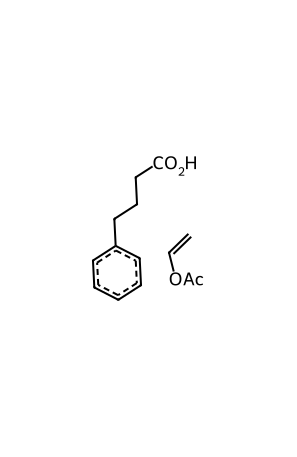 C=COC(C)=O.O=C(O)CCCc1ccccc1